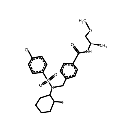 COC[C@@H](C)NC(=O)c1ccc(CN(C2CCCCC2F)S(=O)(=O)c2ccc(Cl)cc2)cc1